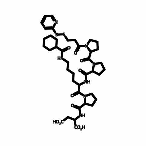 O=C(O)CC(NC(=O)C1CCCN1C(=O)C(CCCCNC(=O)C1CCCCC1)NC(=O)C1CCCN1C(=O)C1CCCN1C(=O)CCSSc1ccccn1)C(=O)O